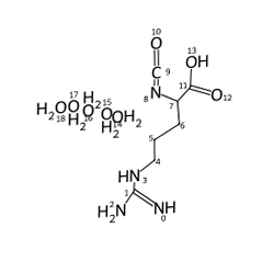 N=C(N)NCCCC(N=C=O)C(=O)O.O.O.O.O.O